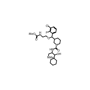 CNCC(NC(=O)N1CCCC(C(OCCNC(=O)OC)c2cccc(Cl)c2F)C1)C(O)C1CCCCC1